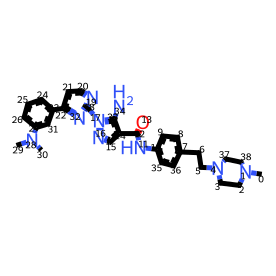 CN1CCN(CCc2ccc(NC(=O)c3cnn(-c4nccc(-c5cccc(N(C)C)c5)n4)c3N)cc2)CC1